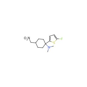 CN(C)C1(c2ccc(F)s2)CC[C](C[N+](=O)[O-])CC1